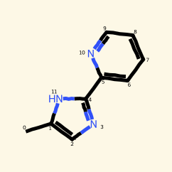 Cc1[c]nc(-c2ccccn2)[nH]1